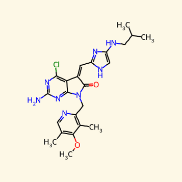 COc1c(C)cnc(CN2C(=O)/C(=C\c3nc(NCC(C)C)c[nH]3)c3c(Cl)nc(N)nc32)c1C